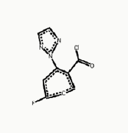 O=C(Cl)c1ccc(F)cc1-n1nccn1